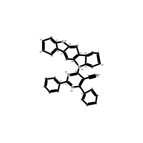 N#Cc1c(-c2ccccc2)nc(-c2ccccc2)nc1-n1c2ccccc2c2cc3sc4ccccc4c3cc21